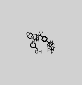 O=C(NC[C@H]1COCCN1C(=O)N1CCCC(CO)C1)c1ccc(-c2noc(C(F)(F)F)n2)cc1